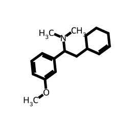 COc1cccc(C(CC2C=CCCC2)N(C)C)c1